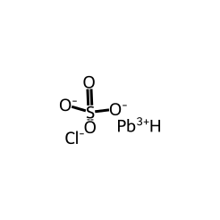 O=S(=O)([O-])[O-].[Cl-].[PbH+3]